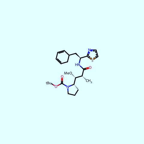 CO[C@H]([C@@H](C)C(=O)N[C@@H](CC1C=CC=CC1)c1nccs1)[C@@H]1CCCN1C(=O)OC(C)(C)C